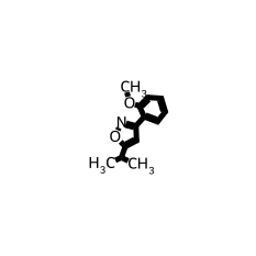 COc1ccccc1-c1cc(C(C)C)on1